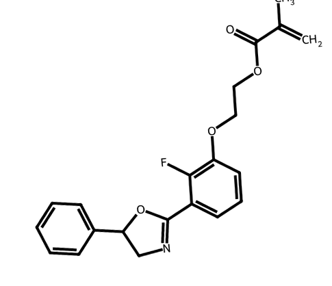 C=C(C)C(=O)OCCOc1cccc(C2=NCC(c3ccccc3)O2)c1F